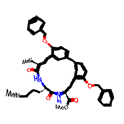 CNCCC[C@@H]1NC(=O)[C@@H](NC)Cc2cc(ccc2OCc2ccccc2)-c2ccc(OCc3ccccc3)c(c2)C[C@@H](C(=O)OC)NC1=O